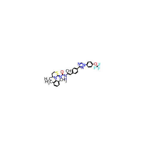 C/C(=C\c1ccc(-c2ncn(-c3ccc(OC(F)(F)F)cc3)n2)cc1)NC(=O)/N=C1\SCCC(C)N1c1c(C)cccc1C